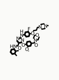 COc1cc(C(=O)N2CCOCC2)ccc1Oc1nc(Nc2ccc(OCCCN3CCN(C)CC3)c(F)c2)ncc1C(=O)Nc1cccc(C)c1C